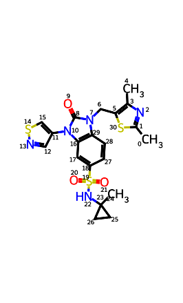 Cc1nc(C)c(Cn2c(=O)n(-c3cnsc3)c3cc(S(=O)(=O)NC4(C)CC4)ccc32)s1